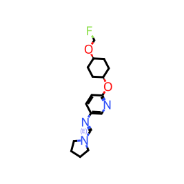 FCO[C@H]1CC[C@@H](Oc2ccc(/N=C/N3CCCC3)cn2)CC1